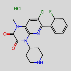 Cl.Cn1c(=O)c(=O)n(C2CCNCC2)c2nc(-c3ccccc3F)c(Cl)cc21